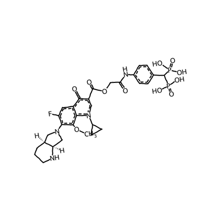 COc1c(N2C[C@@H]3CCCN[C@@H]3C2)c(F)cc2c(=O)c(C(=O)OCC(=O)Nc3ccc(C(P(=O)(O)O)P(=O)(O)O)cc3)cn(C3CC3)c12